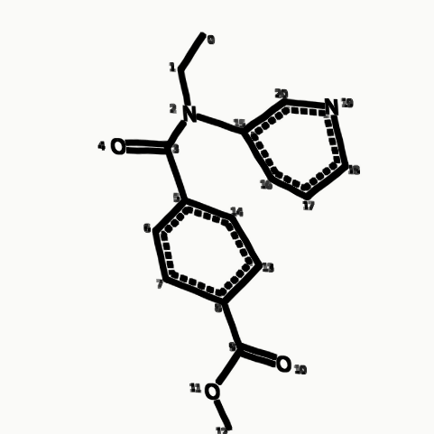 CCN(C(=O)c1ccc(C(=O)OC)cc1)c1cccnc1